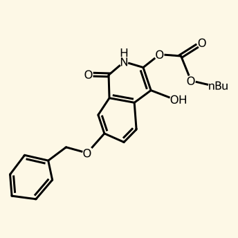 CCCCOC(=O)Oc1[nH]c(=O)c2cc(OCc3ccccc3)ccc2c1O